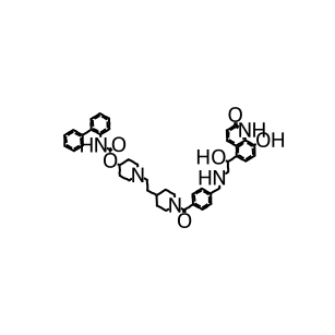 O=C(Nc1ccccc1-c1ccccc1)OC1CCN(CCC2CCN(C(=O)c3ccc(CNCC(O)c4ccc(O)c5[nH]c(=O)ccc45)cc3)CC2)CC1